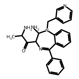 CC(N)C(=O)C1N=C(c2ccccc2)c2ccccc2N(Cc2cccnc2)C1N